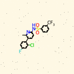 Cc1nc(NS(=O)(=O)c2cccc(C(F)(F)F)c2)ccc1-c1ccc(F)cc1Cl